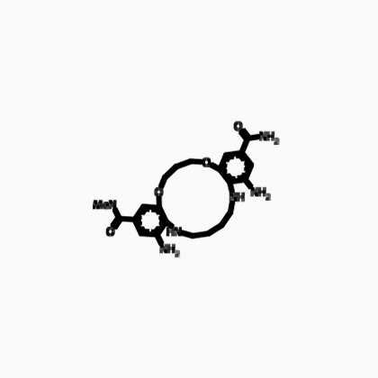 CNC(=O)c1cc(N)c2c(c1)OCCCOc1cc(C(N)=O)cc(N)c1NCCCCN2